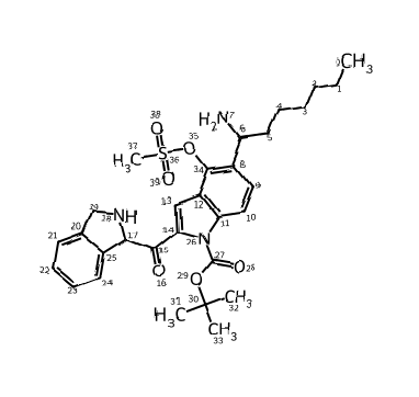 CCCCCCC(N)c1ccc2c(cc(C(=O)C3NCc4ccccc43)n2C(=O)OC(C)(C)C)c1OS(C)(=O)=O